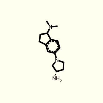 CN(C)C1CCc2cc(N3CC[C@H](N)C3)ccc21